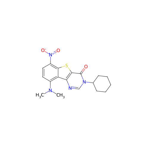 CN(C)c1ccc([N+](=O)[O-])c2sc3c(=O)n(C4CCCCC4)cnc3c12